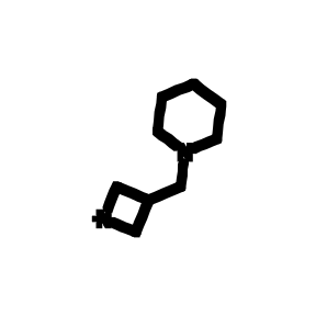 C1CCN(CC2C[N]C2)CC1